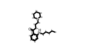 CCCCCNc1ccccc1C(=O)CCCN1CCCCC1